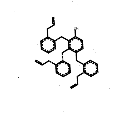 C=CCc1ccccc1Cc1ccc(O)c(Cc2ccccc2CC=C)c1Cc1ccccc1CC=C